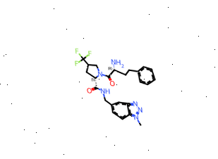 Cn1nnc2cc(CNC(=O)[C@@H]3CC(C(F)(F)F)CN3C(=O)[C@H](N)CCc3ccccc3)ccc21